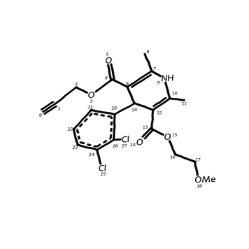 C#CCOC(=O)C1=C(C)NC(C)=C(C(=O)OCCOC)C1c1cccc(Cl)c1Cl